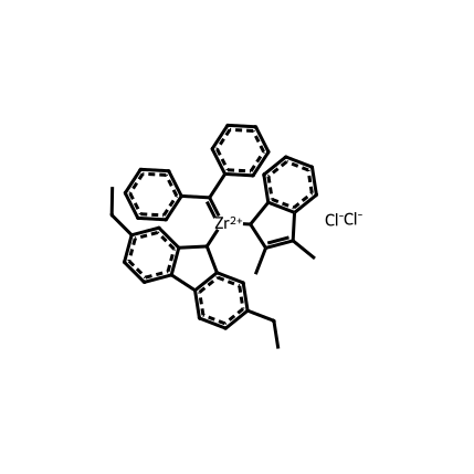 CCc1ccc2c(c1)[CH]([Zr+2](=[C](c1ccccc1)c1ccccc1)[CH]1C(C)=C(C)c3ccccc31)c1cc(CC)ccc1-2.[Cl-].[Cl-]